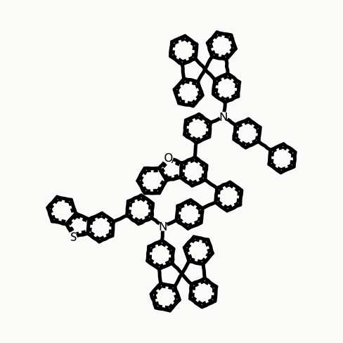 c1ccc(-c2ccc(N(c3cccc(-c4cc(-c5ccccc5-c5ccc(N(c6cccc(-c7ccc8sc9ccccc9c8c7)c6)c6ccc7c(c6)C6(c8ccccc8-c8ccccc86)c6ccccc6-7)cc5)cc5c4oc4ccccc45)c3)c3ccc4c(c3)C3(c5ccccc5-c5ccccc53)c3ccccc3-4)cc2)cc1